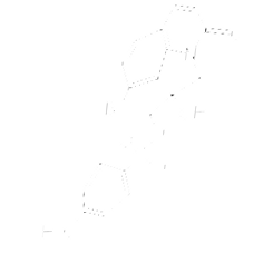 Cc1ccc(S(=O)(=O)OCC2(O)Cn3c(=O)ccc4ccc(Br)c2c43)cc1